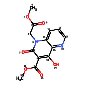 COC(=O)Cn1c(=O)c(C(=O)OC)c(O)c2ncccc21